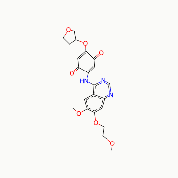 COCCOc1cc2ncnc(NC3=CC(=O)C(OC4CCOC4)=CC3=O)c2cc1OC